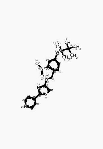 CC(C)(C)[Si](C)(C)Oc1ccc(CNc2csc(-c3ccncc3)n2)c([N+](=O)[O-])c1